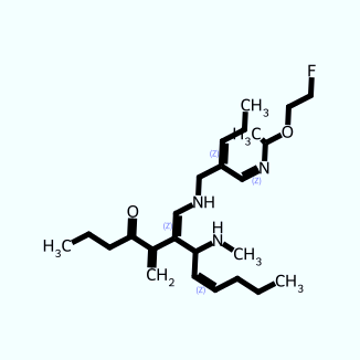 C=C(C(=O)CCC)/C(=C/NCC(/C=N\C(C)OCCF)=C/CC)C(/C=C\CCC)NC